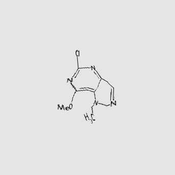 COc1nc(Cl)nc2cnn(C)c12